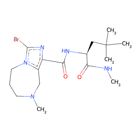 CNC(=O)[C@H](CC(C)(C)C)NC(=O)c1nc(Br)n2c1CN(C)CCC2